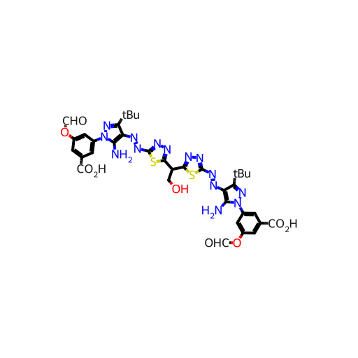 CC(C)(C)c1nn(-c2cc(OC=O)cc(C(=O)O)c2)c(N)c1N=Nc1nnc(C(CO)c2nnc(N=Nc3c(C(C)(C)C)nn(-c4cc(OC=O)cc(C(=O)O)c4)c3N)s2)s1